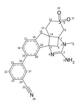 CN1C(N)=NC23CC14CS(=O)(=O)CCC24Cc1ccc(-c2cccc(C#N)c2)cc13